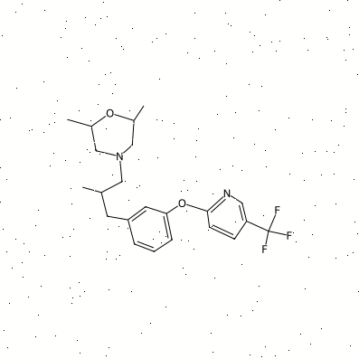 CC(Cc1cccc(Oc2ccc(C(F)(F)F)cn2)c1)CN1CC(C)OC(C)C1